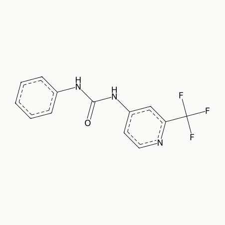 O=C(Nc1ccccc1)Nc1ccnc(C(F)(F)F)c1